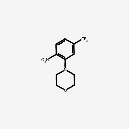 O=[N+]([O-])c1ccc(C(F)(F)F)cc1N1CCOCC1